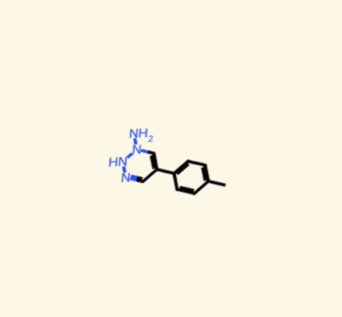 Cc1ccc(C2=CN(N)NN=C2)cc1